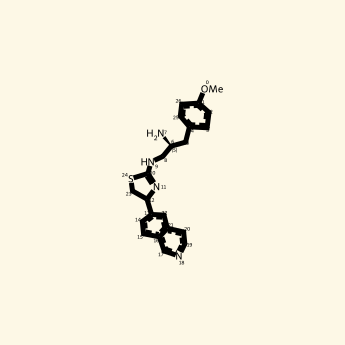 COc1ccc(C[C@H](N)CNC2=NC(c3ccc4cnccc4c3)CS2)cc1